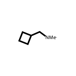 C[N]CC1CCC1